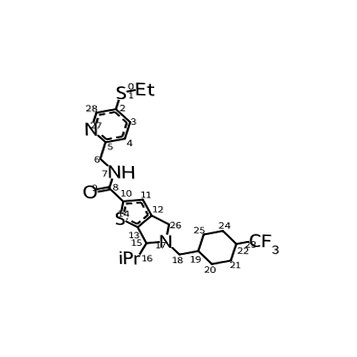 CCSc1ccc(CNC(=O)c2cc3c(s2)C(C(C)C)N(CC2CCC(C(F)(F)F)CC2)C3)nc1